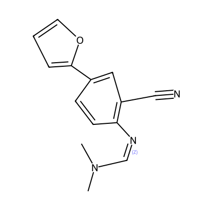 CN(C)/C=N\c1ccc(-c2ccco2)cc1C#N